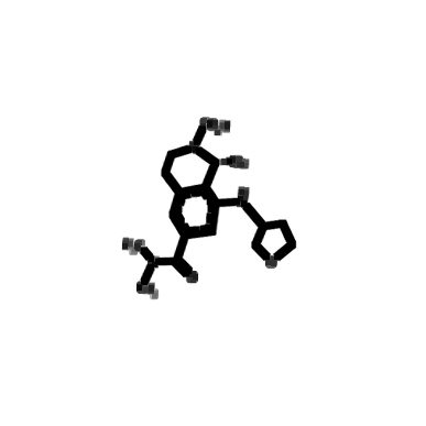 CN(C)C(=O)c1cc2c(c(NC3CCOC3)c1)[C@@H](C(C)(C)C)N(C(=O)O)CC2